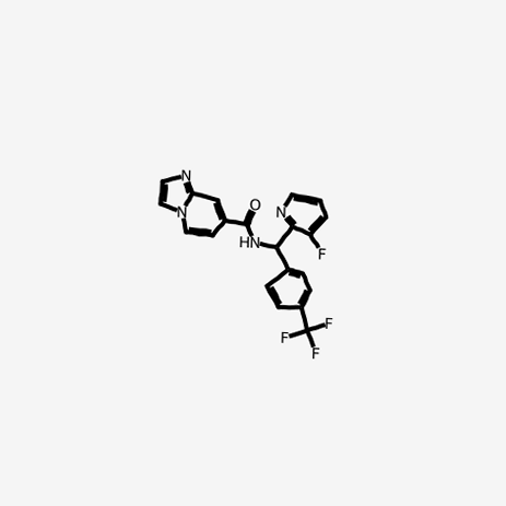 O=C(NC(c1ccc(C(F)(F)F)cc1)c1ncccc1F)c1ccn2ccnc2c1